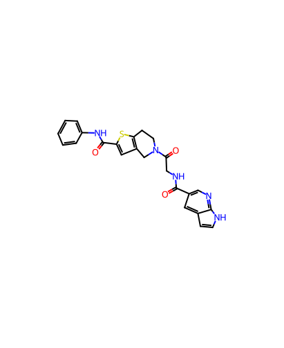 O=C(NCC(=O)N1CCc2sc(C(=O)Nc3ccccc3)cc2C1)c1cnc2[nH]ccc2c1